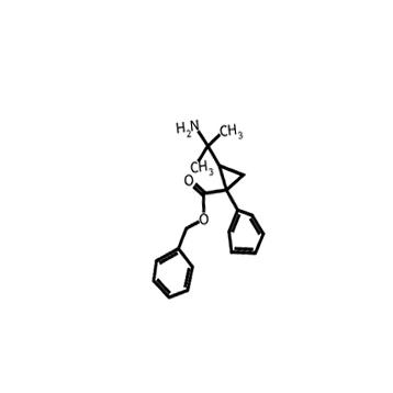 CC(C)(N)C1CC1(C(=O)OCc1ccccc1)c1ccccc1